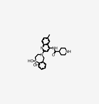 Cc1ccc2nc(N3CCS(O)(O)c4ccccc4C3)cc(NC(=O)C3CCNCC3)c2c1